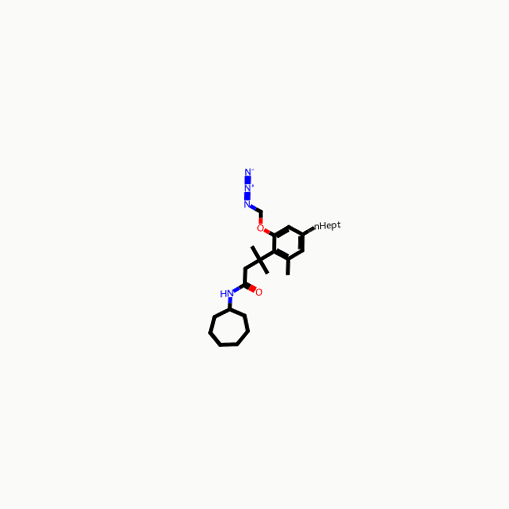 CCCCCCCc1cc(C)c(C(C)(C)CC(=O)NC2CCCCCC2)c(OCN=[N+]=[N-])c1